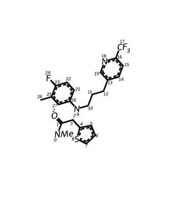 CNC(=O)[C@@H](c1cccs1)N(CCCc1ccc(C(F)(F)F)nc1)c1ccc(F)c(C)c1